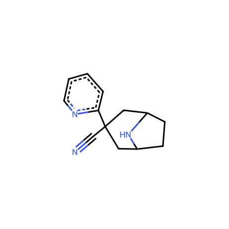 N#CC1(c2ccccn2)CC2CCC(C1)N2